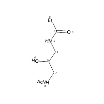 CCC(=O)NCC(O)CNC(C)=O